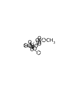 Cc1ccc(S(=O)(=O)O[C@@H](C[C@@H](CP(=O)(OCc2ccccc2)OCc2ccccc2)C(=O)O)C(=O)O)cc1